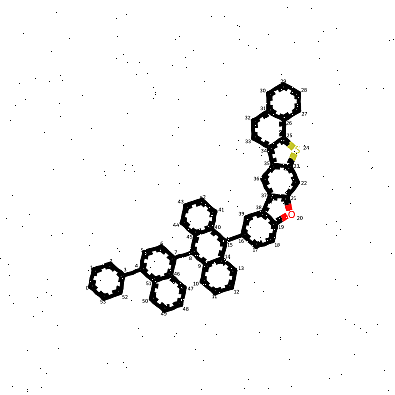 c1ccc(-c2ccc(-c3c4ccccc4c(-c4ccc5oc6cc7sc8c9ccccc9ccc8c7cc6c5c4)c4ccccc34)c3ccccc23)cc1